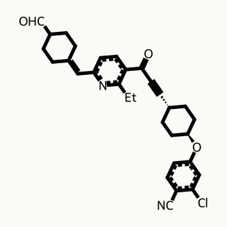 CCc1nc(C=C2CCC(C=O)CC2)ccc1C(=O)C#C[C@H]1CC[C@H](Oc2ccc(C#N)c(Cl)c2)CC1